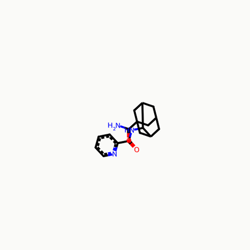 NC(=O)C12CC3CC(C1)C(NC(=O)c1ccccn1)C(C3)C2